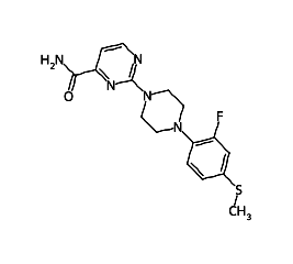 CSc1ccc(N2CCN(c3nccc(C(N)=O)n3)CC2)c(F)c1